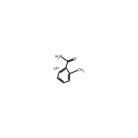 Cc1ccccc1C(N)=O.[LiH]